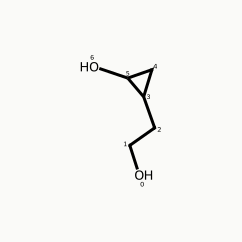 OCCC1CC1O